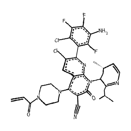 C=CC(=O)N1CCN(c2c(C#N)c(=O)n(C3C(C(C)C)=NC=C[C@H]3C)c3nc(-c4c(F)c(N)c(F)c(F)c4Cl)c(Cl)cc23)CC1